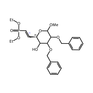 CCOP(=O)(/C=C/[C@H]1OC(OC)C(OCc2ccccc2)C(OCc2ccccc2)C1O)OCC